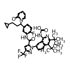 CC(C)(C)c1nc(NC(=O)O)c2cc(-n3nc(C(F)(F)F)cc3C(=O)Nc3cc(C(CCC4CC4)n4ccccc4=O)ccc3F)ccc2c1C(C)(C)C